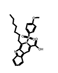 CCCCCCCc1c2nc3ccccc3c-2cc(C(=O)O)n1S(=O)(=O)c1ccc(OC)cc1